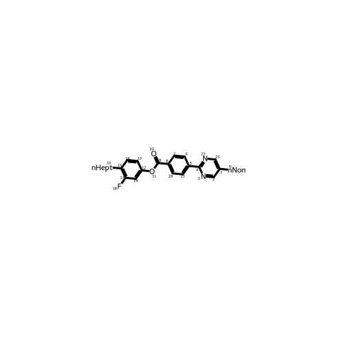 CCCCCCCCCc1cnc(-c2ccc(C(=O)Oc3ccc(CCCCCCC)c(F)c3)cc2)nc1